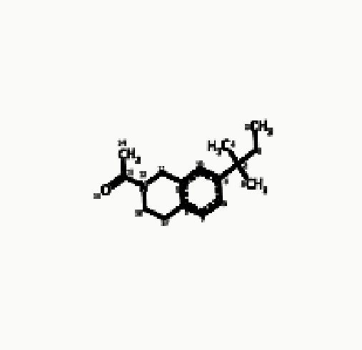 CCC(C)(C)c1ccc2c(c1)CN(C(C)=O)CC2